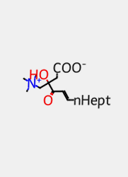 CCCCCCCC=CC(=O)C(O)(CC(=O)[O-])C[N+](C)(C)C